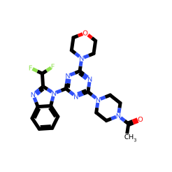 CC(=O)N1CCN(c2nc(N3CCOCC3)nc(-n3c(C(F)F)nc4ccccc43)n2)CC1